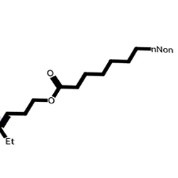 CC/C=C\CCOC(=O)CCCCCCCCCCCCCCC